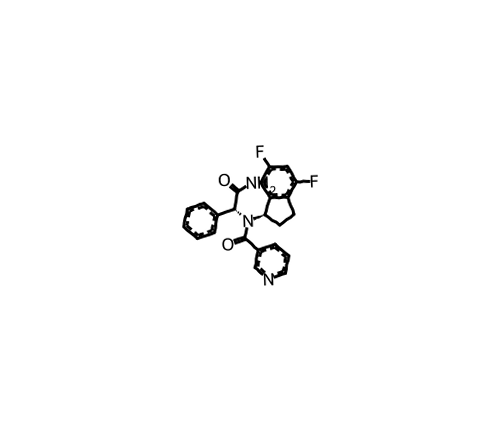 NC(=O)[C@@H](c1ccccc1)N(C(=O)c1cccnc1)[C@@H]1CCc2c(F)cc(F)cc21